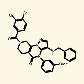 COc1cccc(-n2c(=O)c3c(n4ncc(NCc5ccccc5)c24)CN(C(=O)c2ccc(Br)c(Cl)c2)CC3)c1